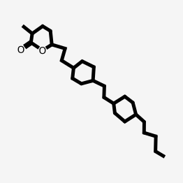 CCCCCC1CCC(CCC2CCC(CCC3CCC(C)C(=O)O3)CC2)CC1